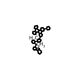 Cc1c(-c2ccc3c4cc(-c5ccccc5)ccc4c4c5ccccc5c5ccccc5c4c3c2)cccc1-c1ccccc1C(C)c1cccc2c1sc1ccccc12